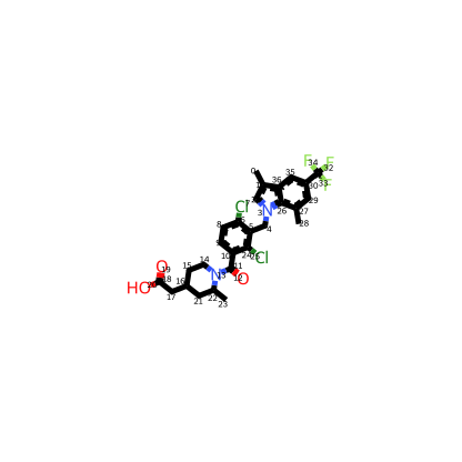 Cc1cn(Cc2c(Cl)ccc(C(=O)N3CCC(CC(=O)O)CC3C)c2Cl)c2c(C)cc(C(F)(F)F)cc12